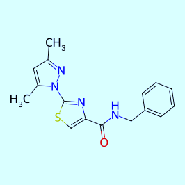 Cc1cc(C)n(-c2nc(C(=O)NCc3ccccc3)cs2)n1